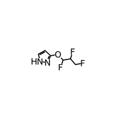 FCC(F)C(F)Oc1cc[nH]n1